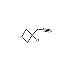 N#CCC1(Cl)CNC1